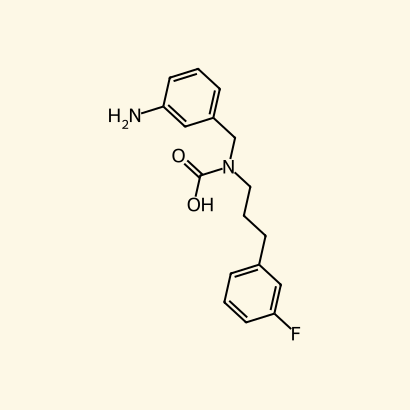 Nc1cccc(CN(CCCc2cccc(F)c2)C(=O)O)c1